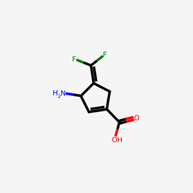 NC1C=C(C(=O)O)CC1=C(F)F